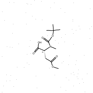 COC(=O)C[C@H](C(=O)O)N(C)C(=O)OC(C)(C)C